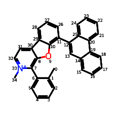 Cc1ccccc1-c1c2oc3c(-c4cc5ccccc5c5ccccc45)cccc3c2cc[n+]1C